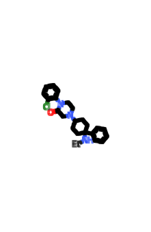 CCNC1(c2ccccc2)CCC(N2CCN(c3ccccc3Cl)C(=O)C2)CC1